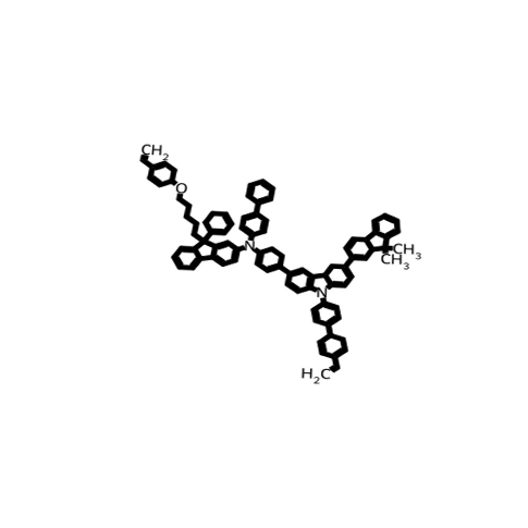 C=CC1=CCC(OCCCCCC2(C3=CC=CCC3)c3ccccc3-c3ccc(N(C4=CC=C(c5ccc6c(c5)C5CC(C7=CC8C(C=C7)c7ccccc7C8(C)C)=CC=C5N6c5ccc(C6C=CC(C=C)=CC6)cc5)CC4)c4ccc(-c5ccccc5)cc4)cc32)C=C1